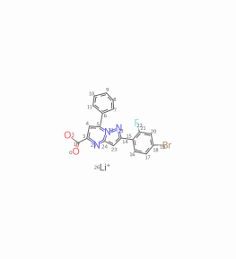 O=C([O-])c1cc(-c2ccccc2)n2nc(-c3ccc(Br)cc3F)cc2n1.[Li+]